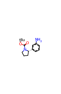 CC(C)(C)OC(=O)N1CCC[C@H]1c1cccc(N)c1